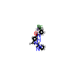 CC1CN(Cc2cnc3ccccn23)c2cc(C(=O)Nc3cccc(C(F)(F)I)c3)ccc21